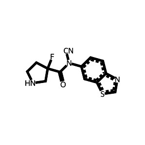 N#CN(C(=O)C1(F)CCNC1)c1ccc2ncsc2c1